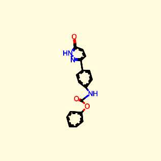 O=C(Nc1ccc(-c2ccc(=O)[nH]n2)cc1)Oc1ccccc1